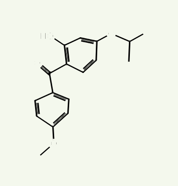 COc1ccc(C(=O)c2ccc(OC(C)C)cc2O)cc1